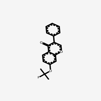 CC(C)(F)Oc1ccc2c(=O)c(-c3ccccc3)coc2c1